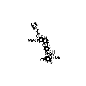 COc1cc2c(Oc3ccc(NS(=O)(=O)c4cc(Cl)cc(Cl)c4OC)cc3F)ccnc2cc1OCCCN1CCOCC1